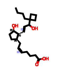 CCCCC1(C(O)/C=C/[C@@H]2[C@@H](C/C=C\CCCC(=O)O)CC[C@H]2O)CCC1